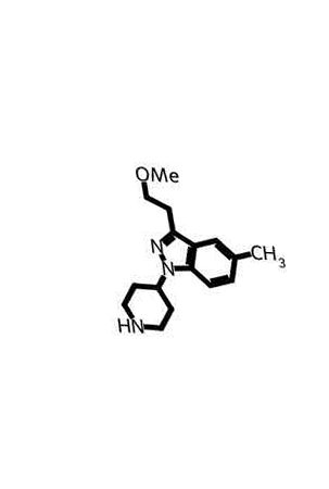 COCCc1nn(C2CCNCC2)c2ccc(C)cc12